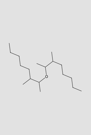 CCCCCC(C)C(C)OC(C)C(C)CCCCC